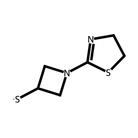 [S]C1CN(C2=NCCS2)C1